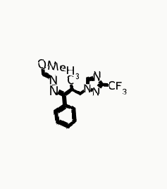 COC=NN=C(c1ccccc1)C(C)Cn1cnc(C(F)(F)F)n1